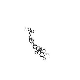 O=C(O)CCCN1CCN(c2ccc3c(=O)n(C4CCC(=O)NC4=O)ncc3c2)CC1